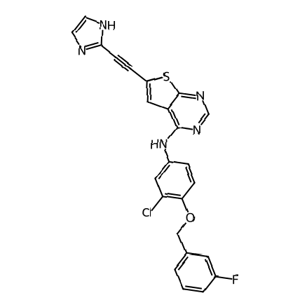 Fc1cccc(COc2ccc(Nc3ncnc4sc(C#Cc5ncc[nH]5)cc34)cc2Cl)c1